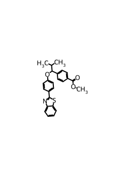 COC(=O)c1ccc(C(Oc2ccc(-c3nc4ccccc4s3)cc2)C(C)C)cc1